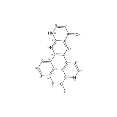 COc1cc(-c2nc3c(=O)cc[nH]c3nc2-c2cccc(F)c2)ccn1